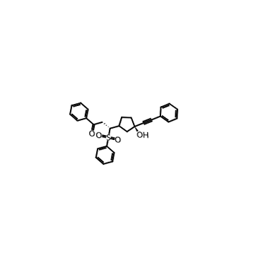 O=C(C[C@H](C1CC[C@](O)(C#Cc2ccccc2)C1)S(=O)(=O)c1ccccc1)c1ccccc1